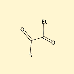 [C]C(=O)C(=O)CC